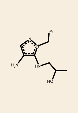 CC(C)Cn1ncc(N)c1NCC(C)O